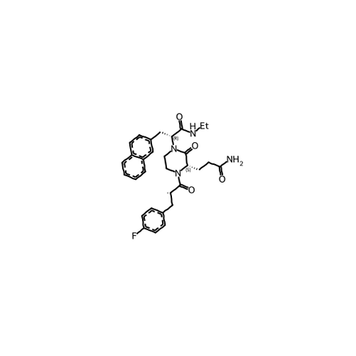 CCNC(=O)[C@@H](Cc1ccc2ccccc2c1)N1CCN(C(=O)[CH]Cc2ccc(F)cc2)[C@@H](CCC(N)=O)C1=O